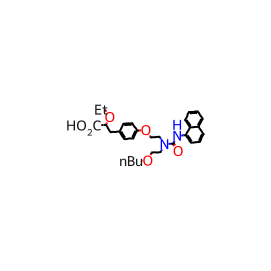 CCCCOCCN(CCOc1ccc(CC(OCC)C(=O)O)cc1)C(=O)Nc1cccc2ccccc12